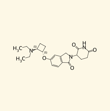 CCN(CC)[C@H]1CC[C@@H]1Oc1ccc2c(c1)CN(C1CCC(=O)NC1=O)C2=O